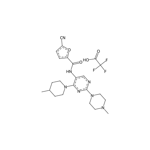 CC1CCN(c2nc(N3CCN(C)CC3)ncc2NC(=O)c2ccc(C#N)o2)CC1.O=C(O)C(F)(F)F